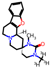 [3H]C([3H])([3H])N1CC[C@@]2(CCN3CCc4c(oc5ccccc45)[C@H]3C2)N(C)C1=O